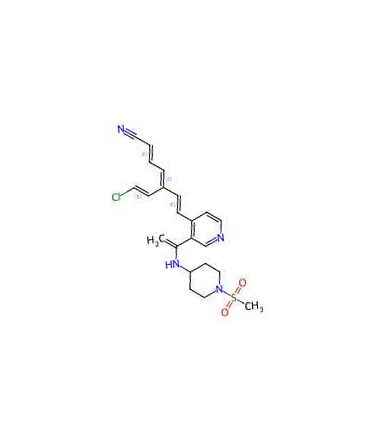 C=C(NC1CCN(S(C)(=O)=O)CC1)c1cnccc1/C=C/C(=C/C=C/C#N)/C=C/Cl